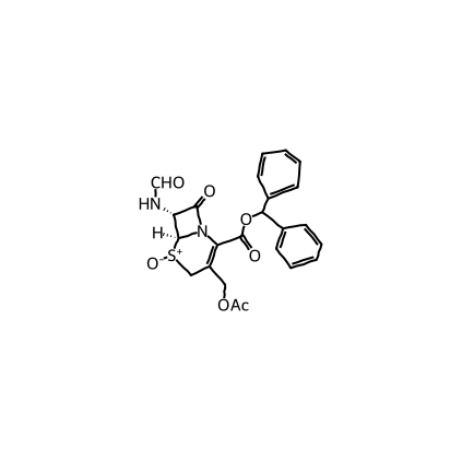 CC(=O)OCC1=C(C(=O)OC(c2ccccc2)c2ccccc2)N2C(=O)[C@@H](NC=O)[C@@H]2[S+]([O-])C1